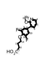 CC(C)Oc1ncccc1-c1cc(F)c(OCCCC(=O)O)c(F)c1